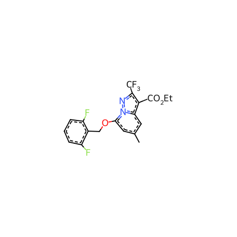 CCOC(=O)c1c(C(F)(F)F)nn2c(OCc3c(F)cccc3F)cc(C)cc12